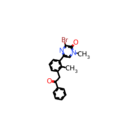 Cc1c(CC(=O)c2ccccc2)cccc1-c1cn(C)c(=O)c(Br)n1